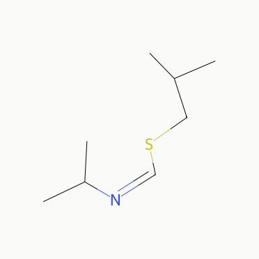 CC(C)CS/C=N\C(C)C